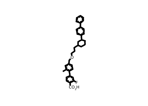 Cc1cc(COCCCC2CCCC(c3ccc(-c4ccccc4)cc3)C2)ccc1-c1ccc(C(=O)O)c(F)c1